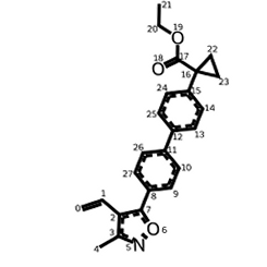 C=Cc1c(C)noc1-c1ccc(-c2ccc(C3(C(=O)OCC)CC3)cc2)cc1